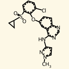 Cn1ccc(Nc2ncnc3ccc(Oc4c(Cl)cccc4S(=O)(=O)C4CC4)cc23)n1